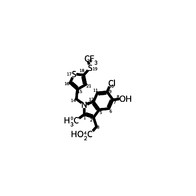 Cc1c(CC(=O)O)c2cc(O)c(Cl)cc2n1Cc1csc(SC(F)(F)F)c1